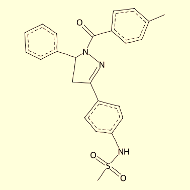 Cc1ccc(C(=O)N2N=C(c3ccc(NS(C)(=O)=O)cc3)CC2c2ccccc2)cc1